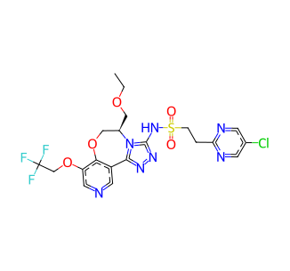 CCOC[C@@H]1COc2c(OCC(F)(F)F)cncc2-c2nnc(NS(=O)(=O)CCc3ncc(Cl)cn3)n21